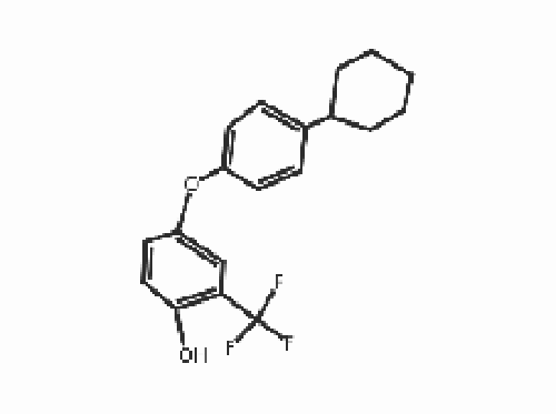 Oc1ccc(Oc2ccc(C3CCCCC3)cc2)cc1C(F)(F)F